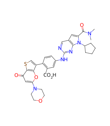 CN(C)C(=O)c1cc2cnc(Nc3ccc(-c4csc5c(=O)cc(N6CCOCC6)oc45)c(C(=O)O)c3)nc2n1C1CCCC1